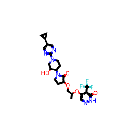 CC(COC1CCN(C2CCN(c3ncc(C4CC4)cn3)CC2O)C1=O)Oc1cn[nH]c(=O)c1C(F)(F)F